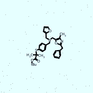 Cc1nc(Cc2ccccc2)oc1CN(Cc1ccc(SC(C)(C)C(=O)OC(C)(C)C)cc1)Cc1ccco1